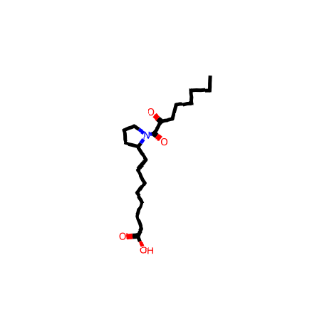 CCCCCCC(=O)C(=O)N1CCCC1CCCCCCCC(=O)O